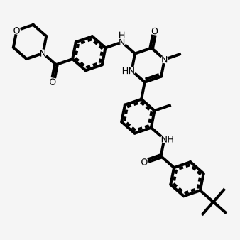 Cc1c(NC(=O)c2ccc(C(C)(C)C)cc2)cccc1C1=CN(C)C(=O)C(Nc2ccc(C(=O)N3CCOCC3)cc2)N1